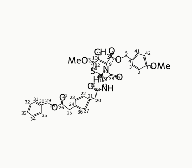 COc1ccc(COC(=O)C2=C(C)[C@@H](OC)S[C@H]3[C@@H](NC(=O)Cc4ccc(CC(=O)OCc5ccccc5)cc4)C(=O)N23)cc1